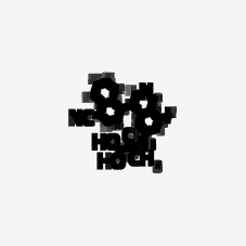 CC(C)(Sc1cc(F)c2cncc(-c3ccc(C#N)c4ccccc34)c2c1)C(O)O